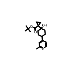 Cc1cc(C2CCC(O)(C3(C(=O)OC(C)(C)C)CC3)CC2)ccn1